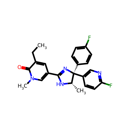 CCc1cc(C2=N[C@@](c3ccc(F)cc3)(c3ccc(F)nc3)[C@H](C)N2)cn(C)c1=O